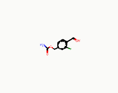 NC(=O)OCc1ccc(CO)c(F)c1